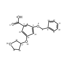 O=C(O)c1cc(OCc2ccccc2)cc(OC2CCOC2)c1